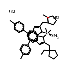 CCC1(CC2=Cc3c(-c4ccc(C)cc4)cccc3[CH]2[Zr]([CH3])([CH3])(=[SiH2])[CH]2C(CC3(CC)CCCC3)=Cc3c(-c4ccc(C)cc4)cccc32)CCCC1.Cl.Cl